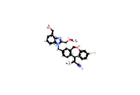 COCc1nc2c(CO)cccc2n1Cc1ccc2c(c1)COc1cc(F)ccc1C2=C(C)C#N